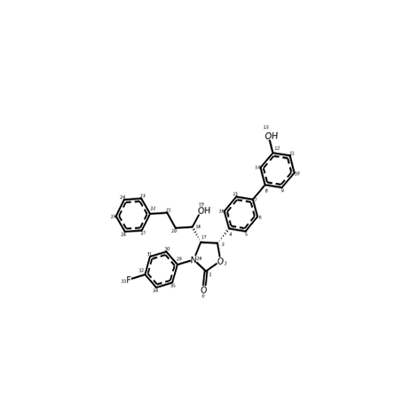 O=C1O[C@@H](c2ccc(-c3cccc(O)c3)cc2)[C@@H](C(O)CCc2ccccc2)N1c1ccc(F)cc1